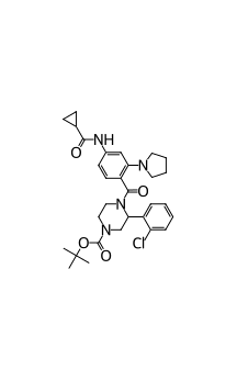 CC(C)(C)OC(=O)N1CCN(C(=O)c2ccc(NC(=O)C3CC3)cc2N2CCCC2)C(c2ccccc2Cl)C1